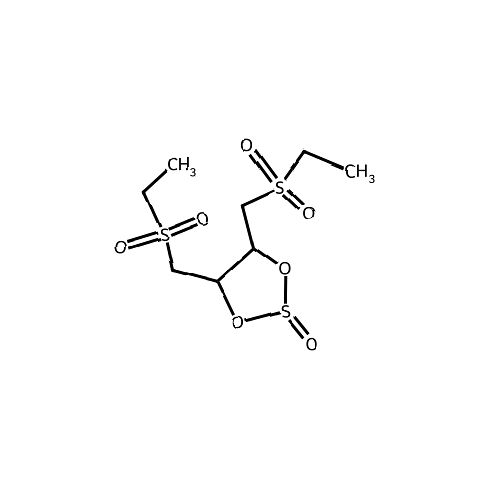 CCS(=O)(=O)CC1OS(=O)OC1CS(=O)(=O)CC